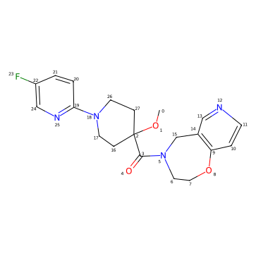 COC1(C(=O)N2CCOc3ccncc3C2)CCN(c2ccc(F)cn2)CC1